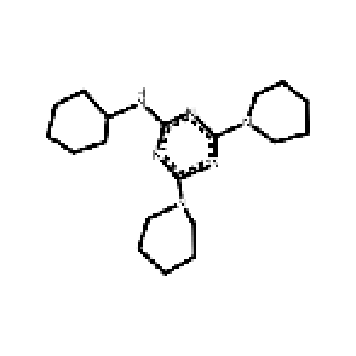 C1CCC(Nc2nc(N3CCCCC3)nc(N3CCCCC3)n2)CC1